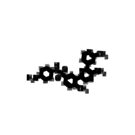 Cc1cc(-c2nc(-c3cc(S(=O)(=O)N[C@H]4CC[C@H](N)CC4)ccc3C)cnc2N)ccn1